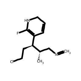 C=NC[C@H](C)[C@@H](CCCl)C1=C(F)NCC=C1